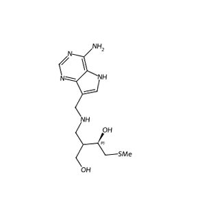 CSC[C@H](O)C(CO)CNCc1c[nH]c2c(N)ncnc12